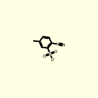 Cc1ccc([N+]#N)c(S(=O)(=O)[O-])c1